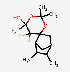 CC1C2CC(C1C)C1(C2)OC(C)(C)OC(O)(C(F)(F)F)C1(F)F